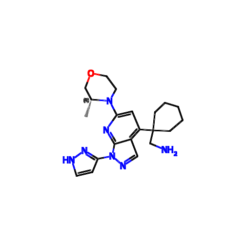 C[C@@H]1COCCN1c1cc(C2(CN)CCCCC2)c2cnn(-c3cc[nH]n3)c2n1